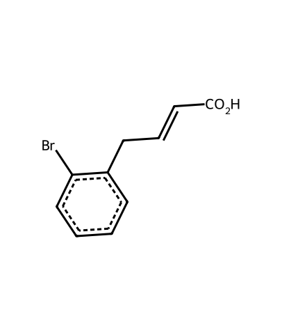 O=C(O)C=CCc1ccccc1Br